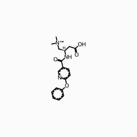 C[N+](C)(C)C[C@@H](CC(=O)O)NC(=O)c1ccc(Oc2ccccc2)nc1